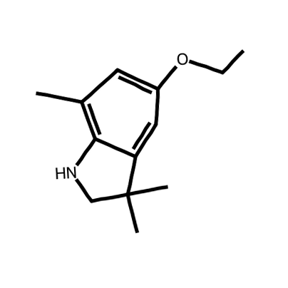 CCOc1cc(C)c2c(c1)C(C)(C)CN2